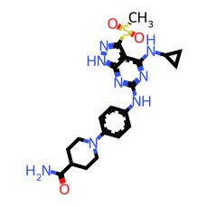 CS(=O)(=O)c1n[nH]c2nc(Nc3ccc(N4CCC(C(N)=O)CC4)cc3)nc(NC3CC3)c12